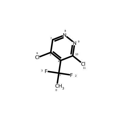 CC(F)(F)c1c(Cl)cnnc1Cl